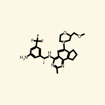 COCC1CN(c2cc3c(N[C@H](C)c4cc(N)cc(C(F)(F)F)c4)nc(C)nc3c3c2CCC3)CCO1